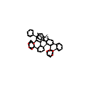 c1ccc(-c2ccccc2-c2cc3sc4ccccc4c3c(-c3cccc(-c4ccccc4)c3-c3nnnc(-c4ccccc4)c3-c3ccccc3)c2-c2ccccc2)cc1